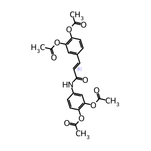 CC(=O)Oc1ccc(/C=C/C(=O)Nc2ccc(OC(C)=O)c(OC(C)=O)c2)cc1OC(C)=O